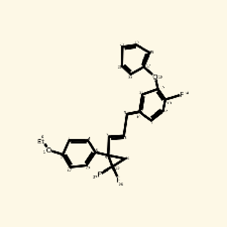 CCOc1ccc(C2(C=CCc3ccc(F)c(Oc4ccccc4)c3)CC2(F)F)cc1